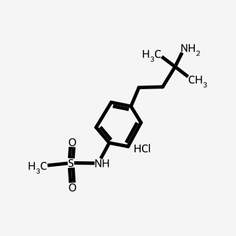 CC(C)(N)CCc1ccc(NS(C)(=O)=O)cc1.Cl